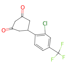 O=C1CC(=O)CC(c2ccc(C(F)(F)F)cc2Cl)C1